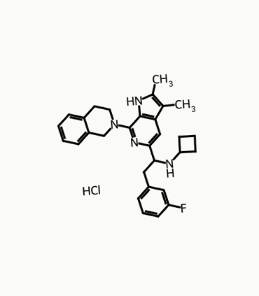 Cc1[nH]c2c(N3CCc4ccccc4C3)nc(C(Cc3cccc(F)c3)NC3CCC3)cc2c1C.Cl